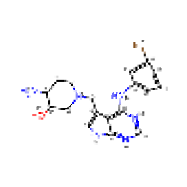 NC1CCN(Cc2c[nH]c3ncnc(Nc4cccc(Br)c4)c23)CC1O